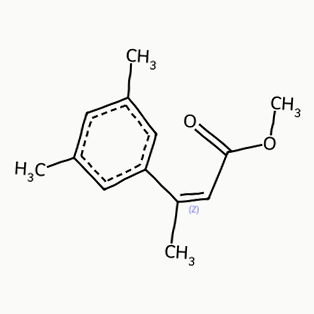 COC(=O)/C=C(/C)c1cc(C)cc(C)c1